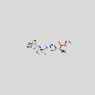 COC(=O)C(C)c1ccc(N2CCN(C(=O)OC(C)(C)C)C(C)(C)C2)nc1